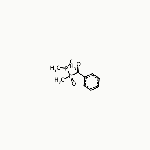 CP(C)P(C)(=O)C(=O)c1ccccc1